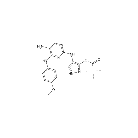 COc1ccc(Nc2nc(Nc3c[nH]nc3OC(=O)C(C)(C)C)ncc2N)cc1